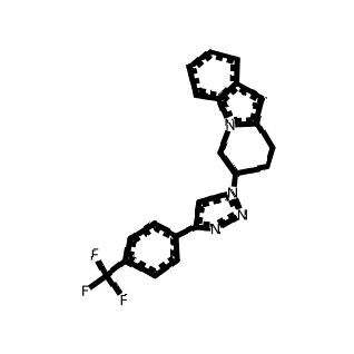 FC(F)(F)c1ccc(-c2cn(C3CCc4[c]c5ccccc5n4C3)nn2)cc1